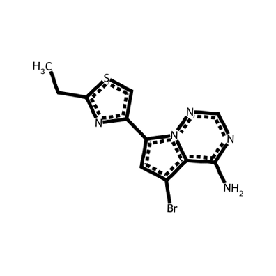 CCc1nc(-c2cc(Br)c3c(N)ncnn23)cs1